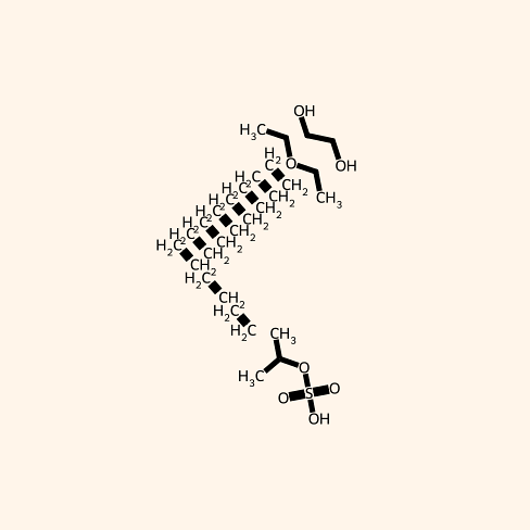 C=C.C=C.C=C.C=C.C=C.C=C.C=C.C=C.C=C.C=C.CC(C)OS(=O)(=O)O.CCOCC.OCCO